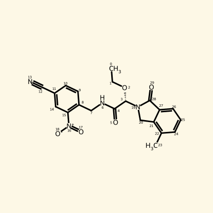 CCO[C@@H](C(=O)NCc1ccc(C#N)cc1[N+](=O)[O-])N1Cc2c(C)cccc2C1=O